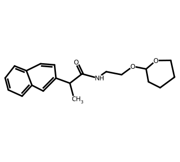 CC(C(=O)NCCOC1CCCCO1)c1ccc2ccccc2c1